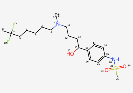 CCN(CCCCCC(C)(F)F)CCCC(O)c1ccc(NS(C)(=O)=O)cc1